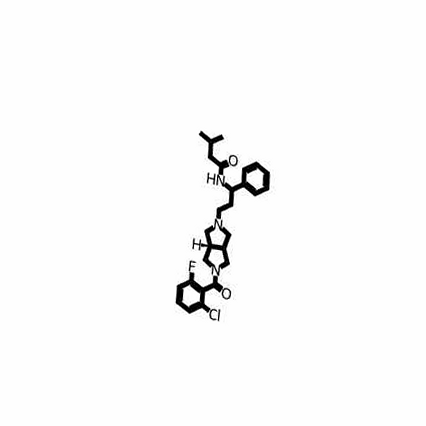 CC(C)CC(=O)NC(CCN1CC2CN(C(=O)c3c(F)cccc3Cl)C[C@@H]2C1)c1ccccc1